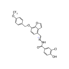 O=C(N/N=C/c1ccc(OCc2ccc(OC(F)(F)F)cc2)c2occc12)c1ccc(O)c(Cl)c1